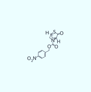 O=C1S[C@H]2C[C@@H]1N(C(=O)OCc1ccc([N+](=O)[O-])cc1)C2